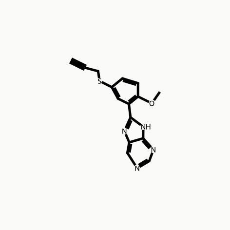 C#CCSc1ccc(OC)c(-c2nc3cncnc3[nH]2)c1